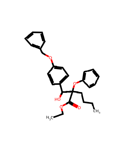 CCCCC(Oc1ccccc1)(C(=O)OCC)C(O)c1ccc(OCc2ccccc2)cc1